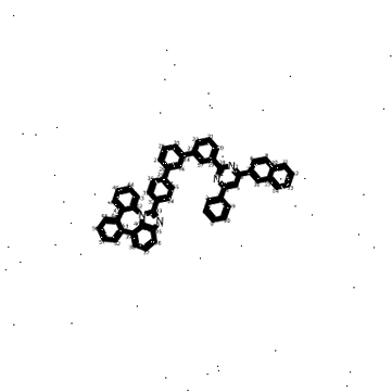 c1ccc(-c2cc(-c3ccc4ccccc4c3)nc(-c3cccc(-c4cccc(-c5ccc(-c6nc7cccc8c7n6-c6ccccc6-c6ccccc6-8)cc5)c4)c3)n2)cc1